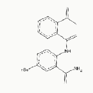 C=C(N)c1cc(CCCC)ccc1NC(=C)c1ccccc1C(=C)C